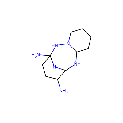 NC1CCC2(N)NC1NC1CCCCN1N2